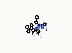 CC1CC2=C(c3ccccc3C2(c2ccccc2)c2ccccc2)c2c1c1ccccc1n2CN(C)/C(=C\C(=N)c1ccccc1)c1cccc(-c2ccccc2)c1